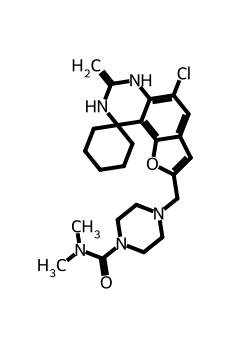 C=C1Nc2c(Cl)cc3cc(CN4CCN(C(=O)N(C)C)CC4)oc3c2C2(CCCCC2)N1